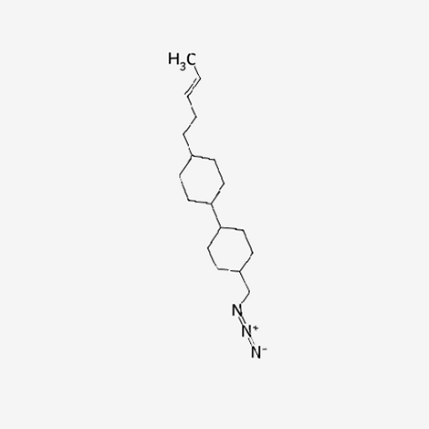 C/C=C/CCC1CCC(C2CCC(CN=[N+]=[N-])CC2)CC1